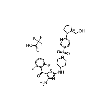 Nc1nc(NC2CCN(S(=O)(=O)c3ccc(N4CCC[C@H]4CO)nc3)CC2)sc1C(=O)c1c(F)cccc1F.O=C(O)C(F)(F)F